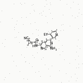 CCc1ccncc1-c1cc2cc(NC(=O)[C@H]3C[C@@H]3C#N)ncc2c(N)n1